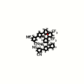 N#Cc1cc(C#N)cc(-c2ccc3c4ccccc4n(-c4cc(-c5ccc(C(F)(F)F)cc5C(F)(F)F)c(-n5c6ccccc6c6ccc(-c7cc(C#N)cc(C#N)c7)cc65)cc4C#N)c3c2)c1